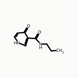 CCCNC(=O)c1c[nH]ccc1=O